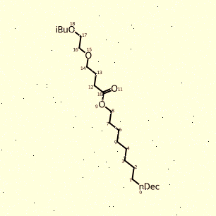 CCCCCCCCCCCCCCCCCCOC(=O)CCCOCCOCC(C)C